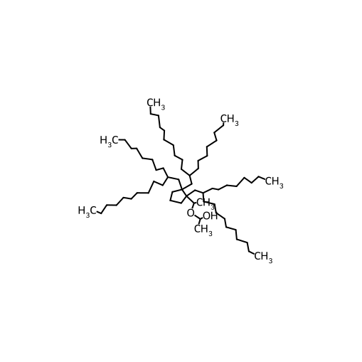 CCCCCCCCCCC(CCCCCCCC)CC1(CC(CCCCCCCC)CCCCCCCCCC)CCCC1(CC(CCCCCCCC)CCCCCCCCCC)C(C)OC(C)O